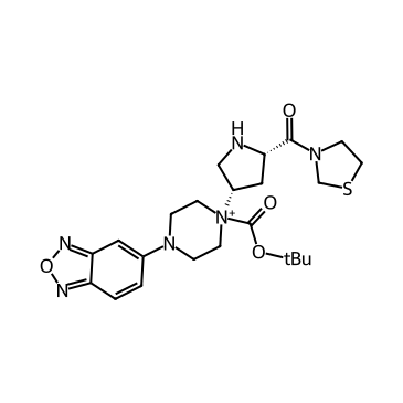 CC(C)(C)OC(=O)[N+]1([C@@H]2CN[C@H](C(=O)N3CCSC3)C2)CCN(c2ccc3nonc3c2)CC1